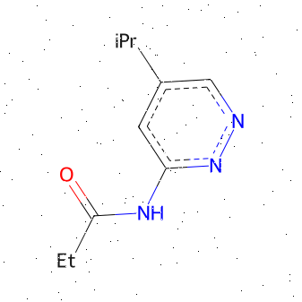 CCC(=O)Nc1cc(C(C)C)cnn1